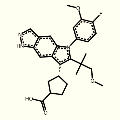 COCC(C)(C)c1c([C@@H]2CCC(C(=O)O)C2)c2cc3[nH]ncc3cc2n1-c1ccc(F)c(OC)c1